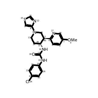 COc1ccc([C@@H]2CN(c3cscn3)CC[C@H]2NC(=O)Nc2ccc(Cl)cc2)nc1